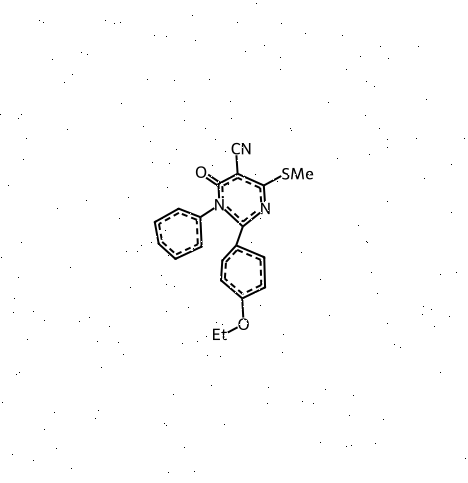 CCOc1ccc(-c2nc(SC)c(C#N)c(=O)n2-c2ccccc2)cc1